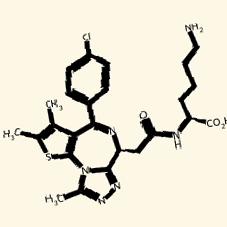 Cc1sc2c(c1C)C(c1ccc(Cl)cc1)=N[C@@H](CC(=O)N[C@@H](CCCCN)C(=O)O)c1nnc(C)n1-2